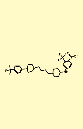 O=[N+]([O-])c1ccc(NC2CCN(CCCCN3CCN(c4ccc(C(F)(F)F)cc4)CC3)CC2)cc1C(F)(F)F